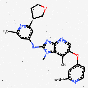 CC(=O)Nc1cc(Oc2cnc3nc(Nc4cc([C@H]5CCOC5)nc(C(F)(F)F)c4)n(C)c3c2C#N)ccn1